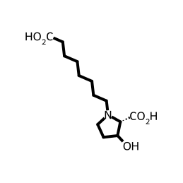 O=C(O)CCCCCCCN1CCC(O)[C@H]1C(=O)O